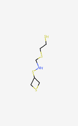 SCCSCNSC1CSC1